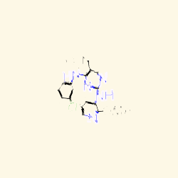 COc1ncccc1Nc1ncc([N+](=O)[O-])c(Nc2cccc(Cl)c2)n1